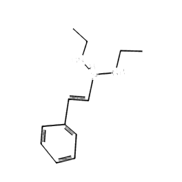 CCN[SiH](C=Cc1ccccc1)NCC